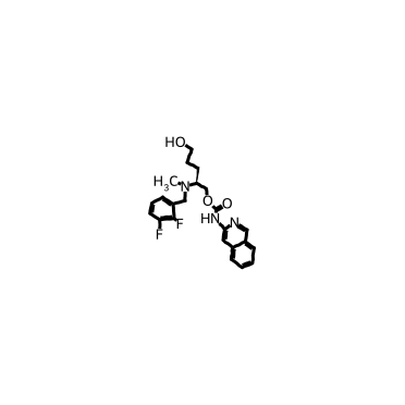 CN(Cc1cccc(F)c1F)[C@@H](CCCO)COC(=O)Nc1cc2ccccc2cn1